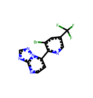 FC(F)(F)c1cnc(-c2ccnc3ncnn23)c(Br)c1